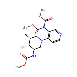 C[C@H]1CN(c2ccncc2N(C(=O)OC(C)(C)C)C(=O)OC(C)(C)C)CC(NC(=O)OC(C)(C)C)[C@@H]1O